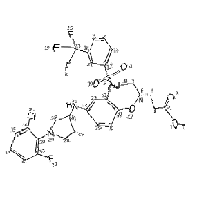 COC(=O)CC[C@H]1CN(S(=O)(=O)c2cccc(C(F)(F)F)c2)c2cc(NC3CCN(c4c(F)cccc4Cl)C3)ccc2O1